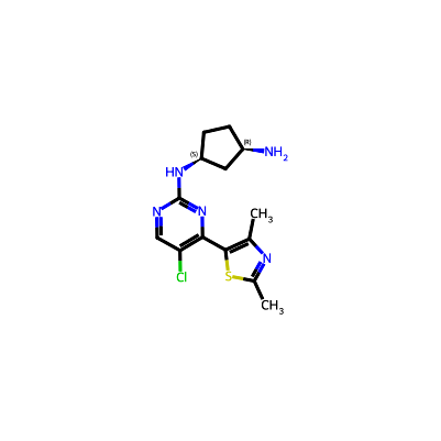 Cc1nc(C)c(-c2nc(N[C@H]3CC[C@@H](N)C3)ncc2Cl)s1